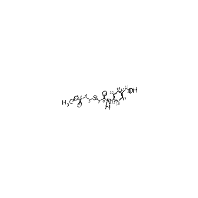 COC(=O)CCSCC(=O)Nc1ccc(CO)cc1